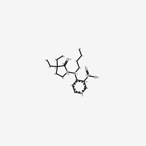 CCCCN(c1ccncc1[N+](=O)[O-])N1CCC(CC)(CC)C1=O